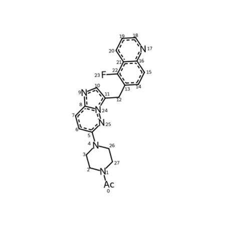 CC(=O)N1CCN(c2ccc3ncc(Cc4ccc5ncccc5c4F)n3n2)CC1